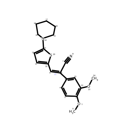 COc1ccc(/C(C#N)=C/c2ccc(N3CCCCC3)s2)cc1OC